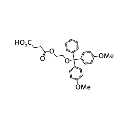 COc1ccc(C(OCCOC(=O)CCC(=O)O)(c2ccccc2)c2ccc(OC)cc2)cc1